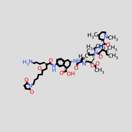 CC[C@H](C)[C@H](NC(=O)[C@H]1C[C@H](C)CCN1C)C(=O)N(CC)[C@H](C[C@@H](OC(C)=O)c1nc(C(=O)N[C@H]2Cc3ccc(NC(=O)[C@H](CCCCN)CC(=O)CCCCCN4C(=O)C=CC4=O)cc3[C@H](C(=O)O)C2)cs1)C(C)C